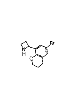 Brc1cc2c(c(C3CCN3)c1)OCCC2